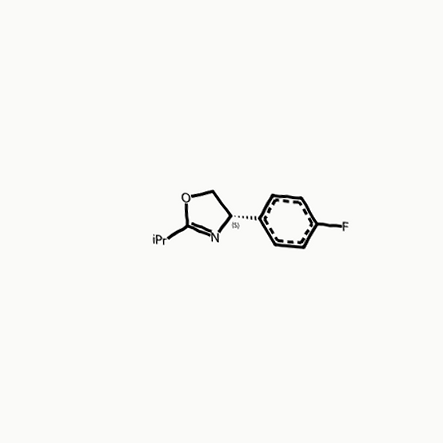 CC(C)C1=N[C@@H](c2ccc(F)cc2)CO1